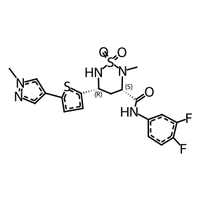 CN1[C@H](C(=O)Nc2ccc(F)c(F)c2)C[C@H](c2ccc(-c3cnn(C)c3)s2)NS1(=O)=O